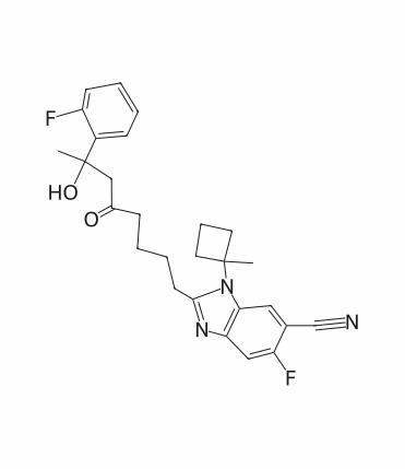 CC(O)(CC(=O)CCCCc1nc2cc(F)c(C#N)cc2n1C1(C)CCC1)c1ccccc1F